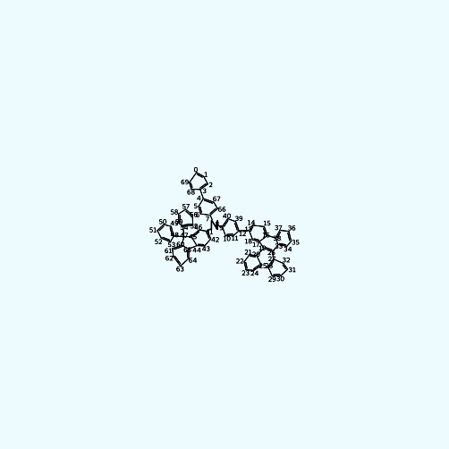 c1ccc(-c2ccc(N(c3ccc(-c4ccc5c(c4)c(-c4ccccc4)c(-c4ccccc4)c4ccccc45)cc3)c3ccc4c(c3)C(c3ccccc3)(c3ccccc3)c3ccccc3-4)cc2)cc1